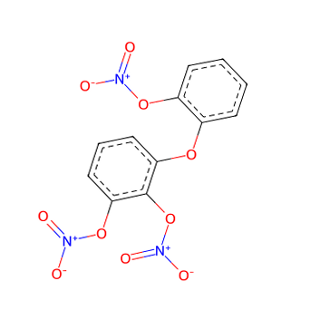 O=[N+]([O-])Oc1ccccc1Oc1cccc(O[N+](=O)[O-])c1O[N+](=O)[O-]